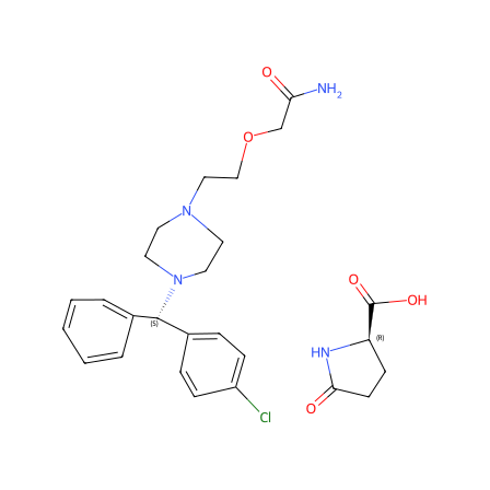 NC(=O)COCCN1CCN([C@@H](c2ccccc2)c2ccc(Cl)cc2)CC1.O=C1CC[C@H](C(=O)O)N1